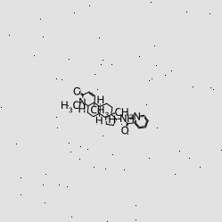 CN1C(=O)C=C[C@]2(C)[C@H]3CC[C@]4(C)[C@@H](NC(=O)c5ccccn5)CC[C@H]4[C@@H]3CC[C@@H]12